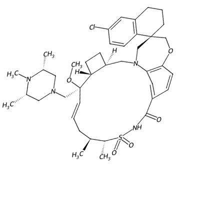 CO[C@]1(CN2C[C@@H](C)N(C)[C@@H](C)C2)/C=C/C[C@H](C)[C@@H](C)S(=O)(=O)NC(=O)c2ccc3c(c2)N(C[C@@H]2CC[C@H]21)C[C@@]1(CCCc2cc(Cl)ccc21)CO3